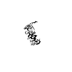 CCCCOC(=O)NC(CNC(=O)c1cn(C)c2cc(CNC3=NCCN3)ccc2c1=O)C(=O)O